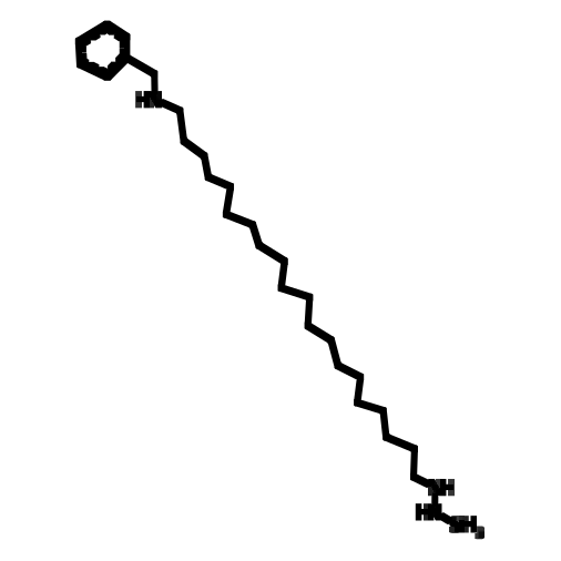 [SiH3]NNCCCCCCCCCCCCCCCCCCCCNCc1ccccc1